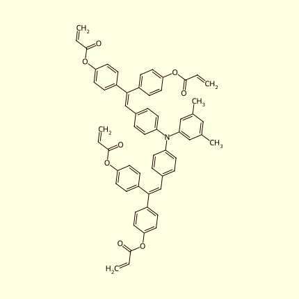 C=CC(=O)Oc1ccc(C(=Cc2ccc(N(c3ccc(C=C(c4ccc(OC(=O)C=C)cc4)c4ccc(OC(=O)C=C)cc4)cc3)c3cc(C)cc(C)c3)cc2)c2ccc(OC(=O)C=C)cc2)cc1